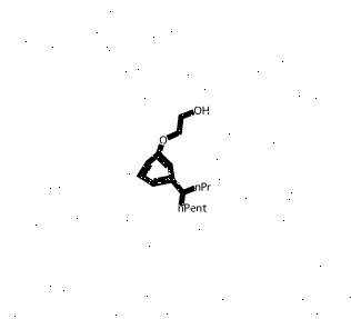 CCCCCC(CCC)c1cccc(OCCO)c1